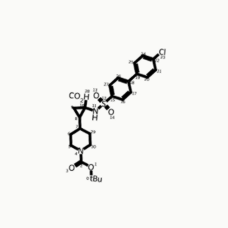 CC(C)(C)OC(=O)N1CCC(C2CC2(NS(=O)(=O)c2ccc(-c3ccc(Cl)cc3)cc2)C(=O)O)CC1